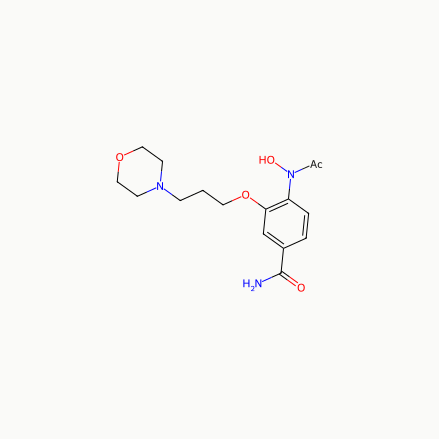 CC(=O)N(O)c1ccc(C(N)=O)cc1OCCCN1CCOCC1